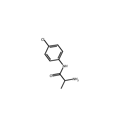 CC(N)C(=O)Nc1ccc(Cl)cc1